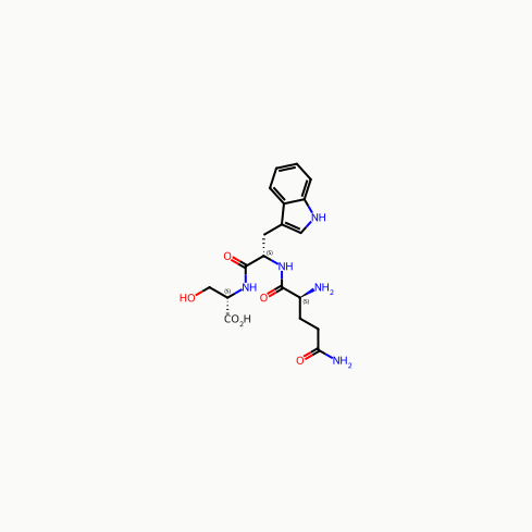 NC(=O)CC[C@H](N)C(=O)N[C@@H](Cc1c[nH]c2ccccc12)C(=O)N[C@@H](CO)C(=O)O